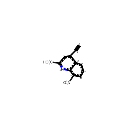 C#Cc1cc(C(=O)O)nc2c([N+](=O)[O-])cccc12